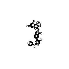 CC(NC(=O)CN1Cc2ccc(-c3nc(NC4CCOCC4)ncc3Cl)cc2C1=O)C1N=CC(Cl)=CN1F